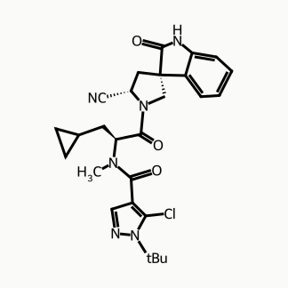 CN(C(=O)c1cnn(C(C)(C)C)c1Cl)[C@@H](CC1CC1)C(=O)N1C[C@]2(C[C@H]1C#N)C(=O)Nc1ccccc12